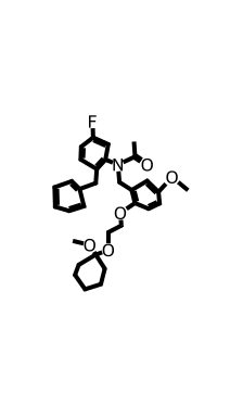 COc1ccc(OCCOC2(OC)CCCCC2)c(CN(C(C)=O)c2cc(F)ccc2Cc2ccccc2)c1